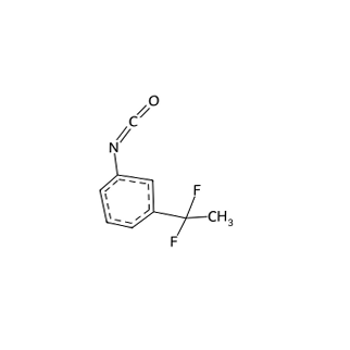 CC(F)(F)c1cccc(N=C=O)c1